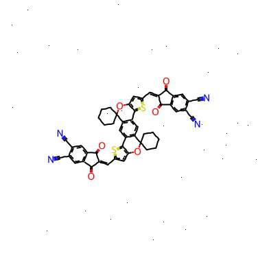 N#Cc1cc2c(cc1C#N)C(=O)C(=Cc1cc3c(s1)-c1cc4c(cc1C1(CCCCC1)O3)-c1sc(C=C3C(=O)c5cc(C#N)c(C#N)cc5C3=O)cc1OC41CCCCC1)C2=O